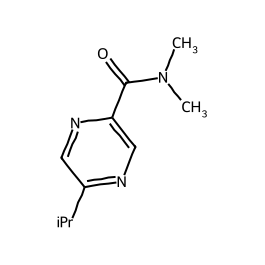 CC(C)c1cnc(C(=O)N(C)C)cn1